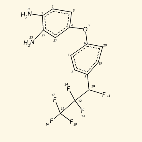 Nc1ccc(Oc2ccc(C(F)C(F)(F)C(F)(F)F)cc2)cc1N